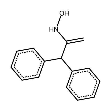 C=C(NO)C(c1ccccc1)c1ccccc1